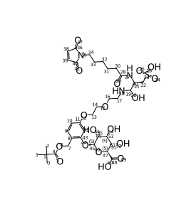 CC(C)(C)C(=O)OCc1ccc(OCCOCCNC(O)[C@H](CS(=O)(=O)O)NC(=O)CCCCCN2C(=O)C=CC2=O)cc1O[C@@H]1O[C@H](C(=O)O)[C@@H](O)[C@H](O)[C@H]1O